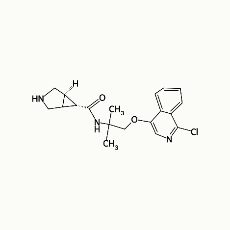 CC(C)(COc1cnc(Cl)c2ccccc12)NC(=O)[C@@H]1C2CNC[C@H]21